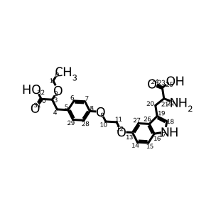 CCOC(Cc1ccc(OCCOc2ccc3[nH]cc(CC(N)C(=O)O)c3c2)cc1)C(=O)O